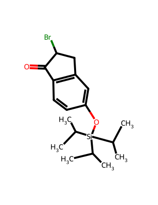 CC(C)[Si](Oc1ccc2c(c1)CC(Br)C2=O)(C(C)C)C(C)C